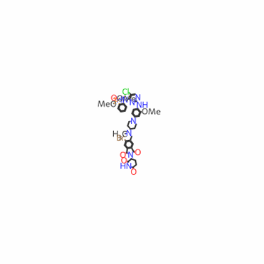 COc1cc(N2CCC(N(C)Cc3cc4c(cc3Br)C(=O)N(C3CCC(=O)NC3=O)C4=O)CC2)ccc1Nc1ncc(Cl)c(Nc2ccccc2P(=O)(OC)OC)n1